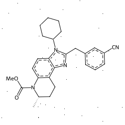 COC(=O)N1c2ccc3c(nc(Cc4cccc(C#N)c4)n3C3CCCCC3)c2CC[C@@H]1C